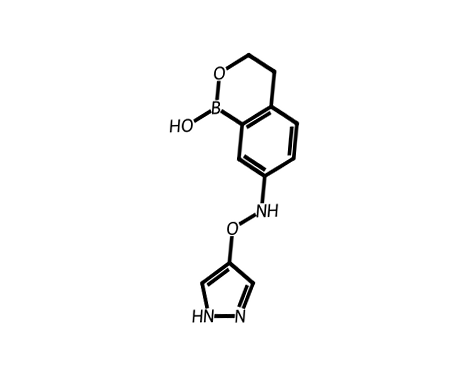 OB1OCCc2ccc(NOc3cn[nH]c3)cc21